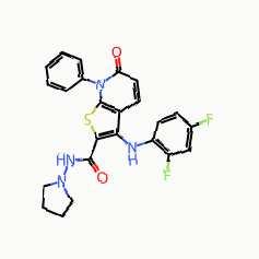 O=C(NN1CCCC1)c1sc2c(ccc(=O)n2-c2ccccc2)c1Nc1ccc(F)cc1F